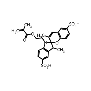 C=C(C)C(=O)OCCN1c2ccc(S(=O)(=O)O)cc2C(C)C12Oc1ccc(S(=O)(=O)O)cc1C=C2C